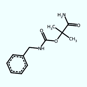 CC(C)(OC(=O)NCc1ccccc1)C(N)=O